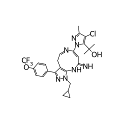 Cc1nn(C2=C/C(=N)Nc3c(c(-c4ccc(OC(F)(F)F)cc4)nn3CC3CC3)C/C=N\2)c(C(C)(C)O)c1Cl